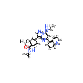 Cc1cc(-c2cnn3c(NCC(C)C)cc(-c4cccc5ncccc45)nc23)ccc1C(=O)NC1CC1